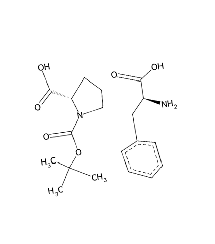 CC(C)(C)OC(=O)N1CCC[C@H]1C(=O)O.N[C@@H](Cc1ccccc1)C(=O)O